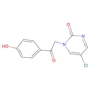 O=C(Cn1cc(Cl)cnc1=O)c1ccc(O)cc1